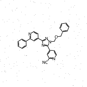 N#Cc1cc(-c2nc(-c3ccnc(-c4ccccc4)c3)nn2COCc2ccccc2)ccn1